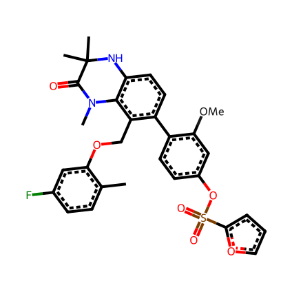 COc1cc(OS(=O)(=O)c2ccco2)ccc1-c1ccc2c(c1COc1cc(F)ccc1C)N(C)C(=O)C(C)(C)N2